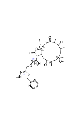 C=N/N=C(/CO/N=C(\N)C1C(=O)O[C@@]2(C)C1CC(=O)[C@H](C)C[C@@](C)(OC)CC(C)C(=O)C(C)C(=O)O[C@H]2CC)SCc1ncccn1